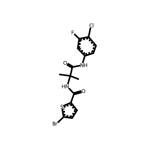 CC(C)(NC(=O)c1ccc(Br)s1)C(=O)Nc1ccc(Cl)c(F)c1